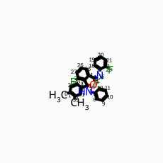 Cc1ccc(C2(Nc3ccccc3F)O/C(=N/c3ccccc3F)c3cccc(F)c32)cc1C